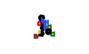 O=C(NN1CCCCC1)C1=NN(c2ccc(Cl)cc2Cl)C(c2ccc(Br)s2)C1